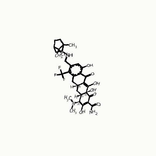 CN(C)[C@@H]1C(O)=C(C(N)=O)C(=O)[C@@]2(O)C(O)=C3C(=O)c4c(O)cc(CN[C@H]5CC6CCC5(C)C6(C)C)c(C(F)(F)F)c4C[C@H]3C[C@@H]12